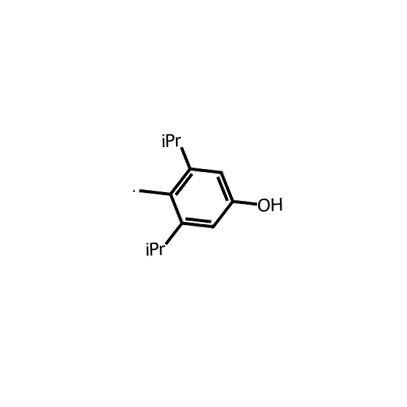 [CH2]c1c(C(C)C)cc(O)cc1C(C)C